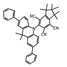 CC1(C)c2cc(-c3ccccc3)ccc2N(c2c(C#N)c(C#N)c3c(c2C#N)C(C)(C)C(C)(C)C3(C)C)c2ccc(-c3ccccc3)cc21